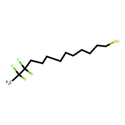 FC(F)(F)C(F)(F)C(F)(F)CCCCCCCCCCS